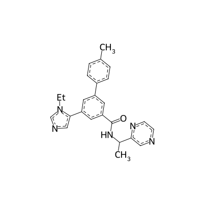 CCn1cncc1-c1cc(C(=O)NC(C)c2cnccn2)cc(-c2ccc(C)cc2)c1